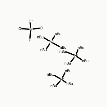 CCCC[N+](CCCC)(CCCC)CCCC.CCCC[N+](CCCC)(CCCC)CCCC.CCCC[N+](CCCC)(CCCC)CCCC.[O-][Si]([O-])([O-])F